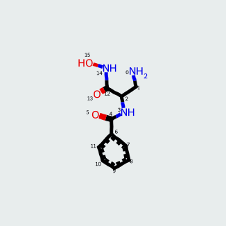 NCC(NC(=O)c1ccccc1)C(=O)NO